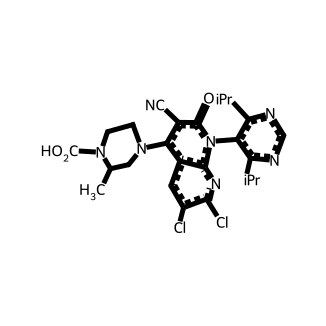 CC(C)c1ncnc(C(C)C)c1-n1c(=O)c(C#N)c(N2CCN(C(=O)O)C(C)C2)c2cc(Cl)c(Cl)nc21